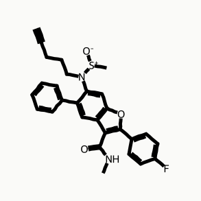 C#CCCCN(c1cc2oc(-c3ccc(F)cc3)c(C(=O)NC)c2cc1-c1ccccc1)[S+](C)[O-]